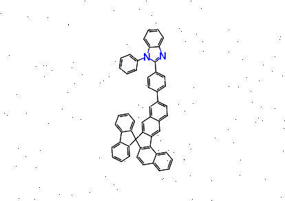 c1ccc(-n2c(-c3ccc(-c4ccc5cc6c(cc5c4)C4(c5ccccc5-c5ccccc54)c4ccc5ccccc5c4-6)cc3)nc3ccccc32)cc1